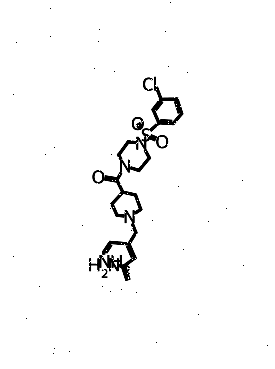 C=C(N)/C=C(\C=C/N)CN1CCC(C(=O)N2CCN(S(=O)(=O)c3cccc(Cl)c3)CC2)CC1